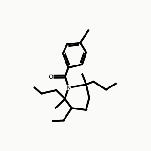 CCCC1(C)C[CH]C(CC)C(C)(CCC)N1C(=O)c1ccc(C)cc1